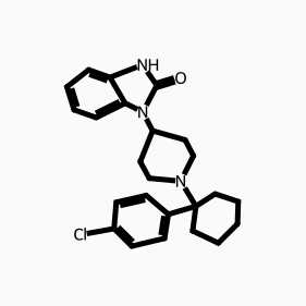 O=c1[nH]c2ccccc2n1C1CCN(C2(c3ccc(Cl)cc3)CCCCC2)CC1